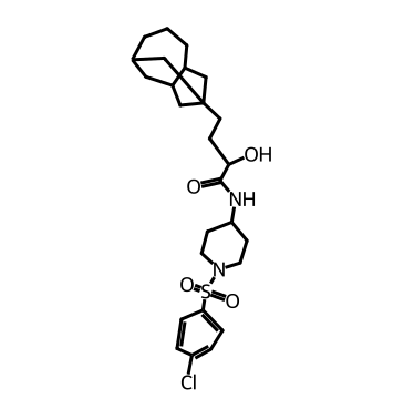 O=C(NC1CCN(S(=O)(=O)c2ccc(Cl)cc2)CC1)C(O)CCC12CC3CCCC(C1)C(C3)C2